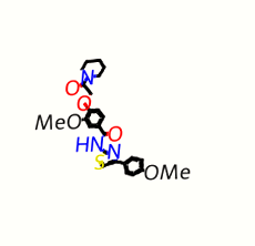 COc1ccc(-c2csc(NC(=O)c3ccc(OCC(=O)N4CCCCC4)c(OC)c3)n2)cc1